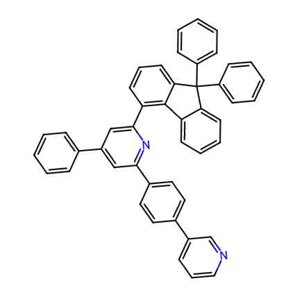 c1ccc(-c2cc(-c3ccc(-c4cccnc4)cc3)nc(-c3cccc4c3-c3ccccc3C4(c3ccccc3)c3ccccc3)c2)cc1